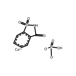 O=C1NS(=O)(=O)c2ccccc21.O=P([O-])([O-])O.[Ca+2]